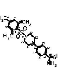 Cc1cc(C)c(S(=O)(=O)N2CCN(c3ccc(C(=N)N)cc3)CC2)c(C)c1